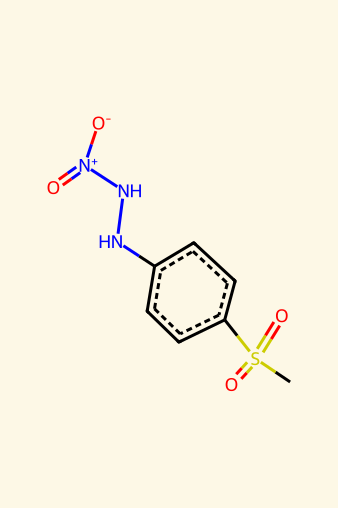 CS(=O)(=O)c1ccc(NN[N+](=O)[O-])cc1